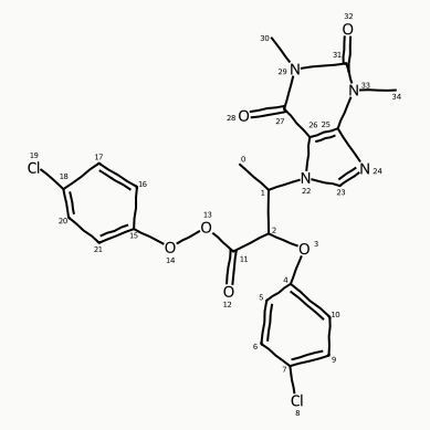 CC(C(Oc1ccc(Cl)cc1)C(=O)OOc1ccc(Cl)cc1)n1cnc2c1c(=O)n(C)c(=O)n2C